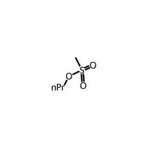 C[CH]COS(C)(=O)=O